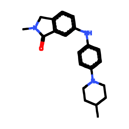 CC1CCN(c2ccc(Nc3ccc4c(c3)C(=O)N(C)C4)cc2)CC1